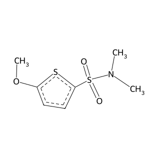 COc1ccc(S(=O)(=O)N(C)C)s1